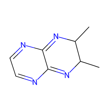 CC1N=c2nccnc2=NC1C